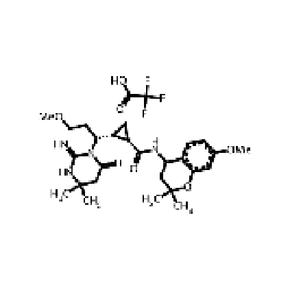 COCCC([C@@H]1C[C@H]1C(=O)NC1CC(C)(C)Oc2cc(OC)ccc21)N1C(=N)NC(C)(C)CC1=O.O=C(O)C(F)(F)F